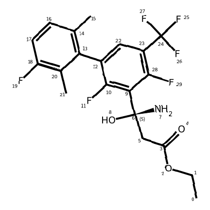 CCOC(=O)C[C@](N)(O)c1c(F)c(-c2c(C)ccc(F)c2C)cc(C(F)(F)F)c1F